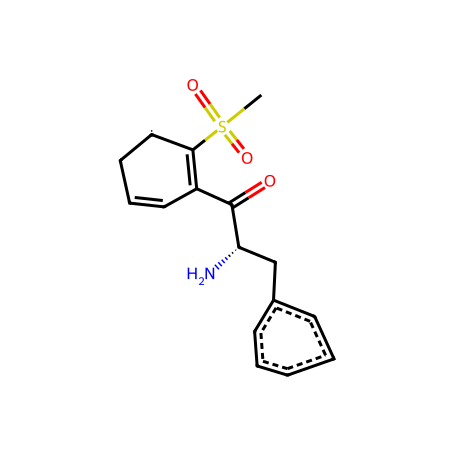 CS(=O)(=O)C1=C(C(=O)[C@@H](N)Cc2ccccc2)C=CC[CH]1